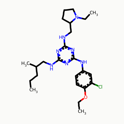 CCCC(C)CNc1nc(NCC2CCCN2CC)nc(Nc2ccc(OCC)c(Cl)c2)n1